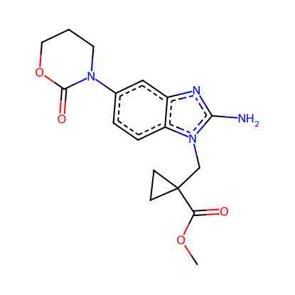 COC(=O)C1(Cn2c(N)nc3cc(N4CCCOC4=O)ccc32)CC1